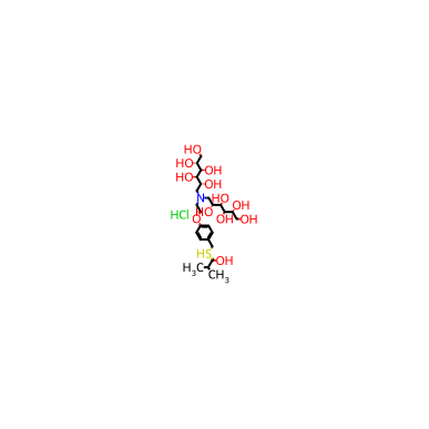 CC(C)C(O)=[SH]Cc1ccc(OCCN(C[C@@H](O)[C@@H](O)[C@H](O)[C@H](O)CO)C[C@@H](O)[C@@H](O)[C@H](O)[C@H](O)CO)cc1.Cl